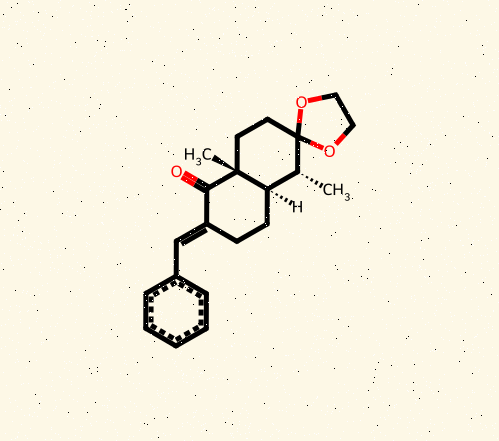 C[C@@H]1[C@H]2CC/C(=C\c3ccccc3)C(=O)[C@]2(C)CCC12OCCO2